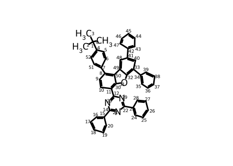 CC(C)(C)c1ccc(-c2ccc(-c3nc(-c4ccccc4)nc(-c4ccccc4)n3)c3oc4c(-c5ccccc5)cc(-c5ccccc5)cc4c23)cc1